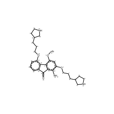 CCCOc1cc(OCCCC2CCNC2)c(N)c2c1-c1c(OCCCC3CCNC3)cccc1C2=O